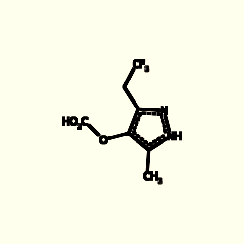 Cc1[nH]nc(CC(F)(F)F)c1OC(=O)O